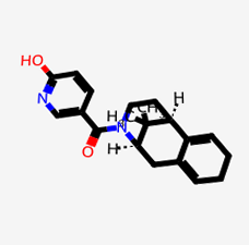 CC1(C)[C@H]2CCN(C(=O)c3ccc(O)nc3)[C@@H]1CC1=CCCC=C12